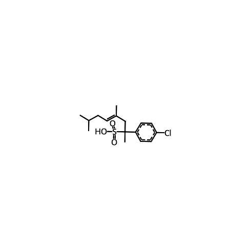 CC(=CCC(C)C)CC(C)(c1ccc(Cl)cc1)S(=O)(=O)O